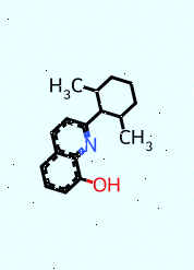 CC1CCCC(C)C1c1ccc2cccc(O)c2n1